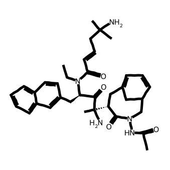 CCN(C(=O)/C=C/CC(C)(C)N)[C@H](Cc1ccc2ccccc2c1)C(=O)C(C)(N)[C@@H]1CC2=CC=CC(C2)CN(NC(C)=O)C1=O